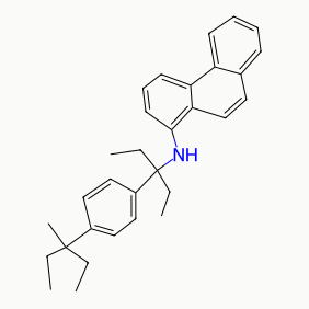 CCC(C)(CC)c1ccc(C(CC)(CC)Nc2cccc3c2ccc2ccccc23)cc1